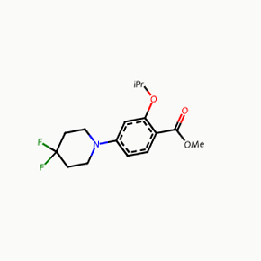 COC(=O)c1ccc(N2CCC(F)(F)CC2)cc1OC(C)C